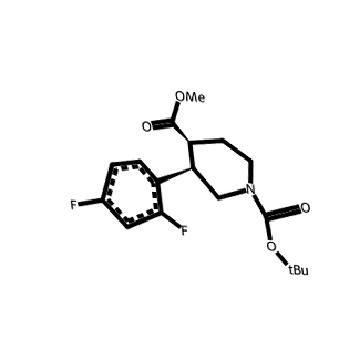 COC(=O)[C@H]1CCN(C(=O)OC(C)(C)C)C[C@H]1c1ccc(F)cc1F